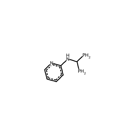 PC(P)Nc1ccccn1